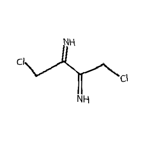 N=C(CCl)C(=N)CCl